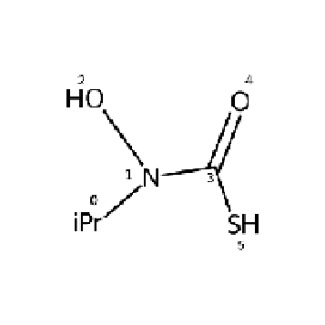 CC(C)N(O)C(=O)S